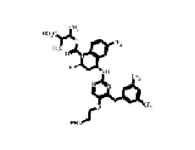 CC[C@@H]1C[C@H](Nc2ncc(OCCOC)c(Cc3cc(C(F)(F)F)cc(C(F)(F)F)c3)n2)c2cc(C(F)(F)F)ccc2N1C(=O)OC(C)C(C)C(=O)O